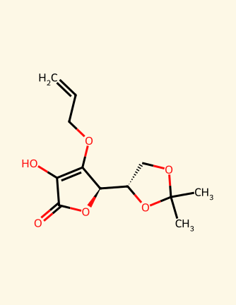 C=CCOC1=C(O)C(=O)O[C@@H]1[C@@H]1COC(C)(C)O1